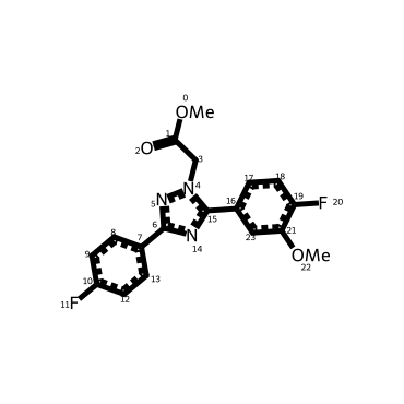 COC(=O)Cn1nc(-c2ccc(F)cc2)nc1-c1ccc(F)c(OC)c1